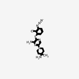 CC1(N)CCN(c2cnc(Sc3cccc(N=[N+]=[N-])c3Cl)c(N)n2)CC1